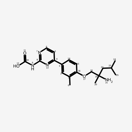 Cc1cc(-c2ccnc(NC(=O)O)n2)ccc1OCC(C)(N)CC(C)C